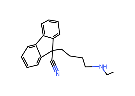 CCNCCCCC1(C#N)c2ccccc2-c2ccccc21